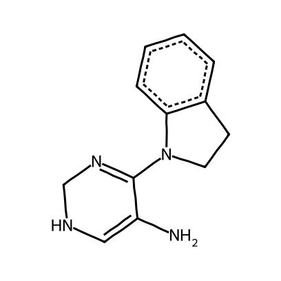 NC1=CNCN=C1N1CCc2ccccc21